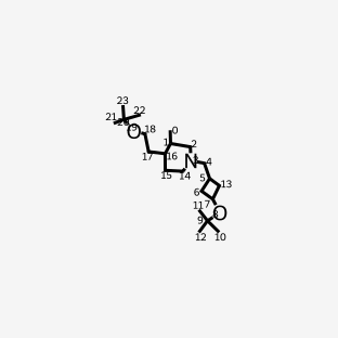 CC1CN(CC2CC(OC(C)(C)C)C2)CCC1CCOC(C)(C)C